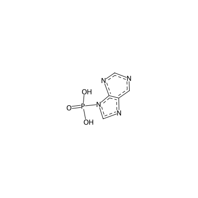 O=P(O)(O)n1cnc2cncnc21